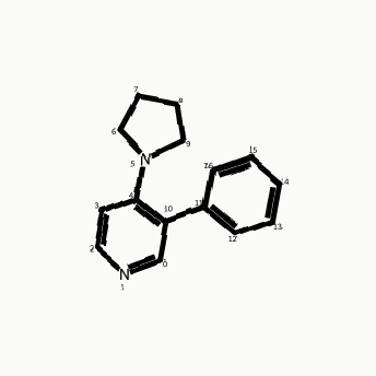 [c]1nccc(N2CCCC2)c1-c1ccccc1